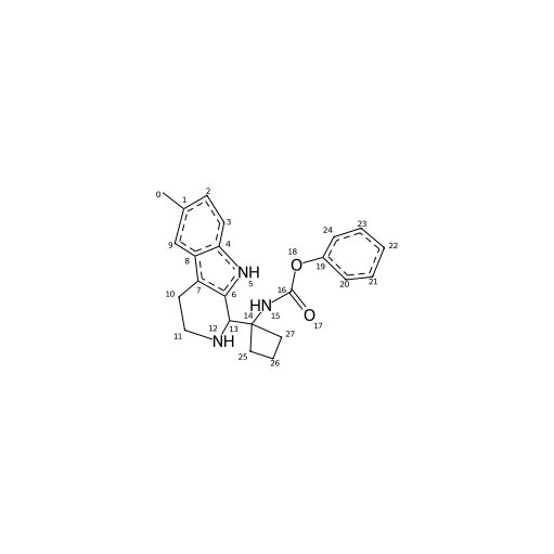 Cc1ccc2[nH]c3c(c2c1)CCNC3C1(NC(=O)Oc2ccccc2)CCC1